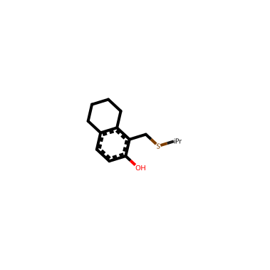 CC(C)SCc1c(O)ccc2c1CCCC2